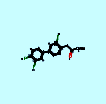 COC(=O)Cc1ccc(-c2ccc(F)c(F)c2)cc1F